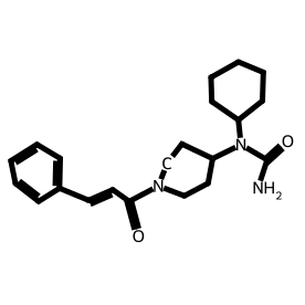 NC(=O)N(C1CCCCC1)C1CCN(C(=O)/C=C/c2ccccc2)CC1